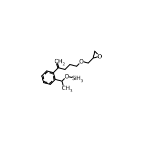 C=C(CCCOCC1CO1)c1ccccc1C(C)O[SiH3]